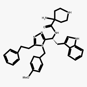 COC1=CCC(Cn2c(CCc3ccccc3)nnc2[C@@H](Cc2c[nH]c3ccccc23)NC(=O)C2(N)CCNCC2)C=C1